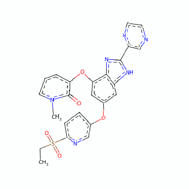 CCS(=O)(=O)c1ccc(Oc2cc(Oc3cccn(C)c3=O)c3nc(-c4cnccn4)[nH]c3c2)cn1